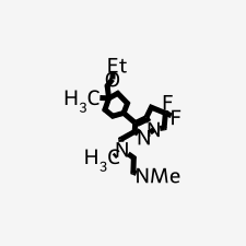 CCOCC1(C)CCC(c2c(CN(C)CCNC)nn3c2CC(F)(F)C3)CC1